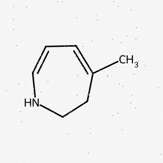 CC1=CC=CNCC1